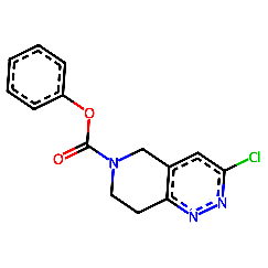 O=C(Oc1ccccc1)N1CCc2nnc(Cl)cc2C1